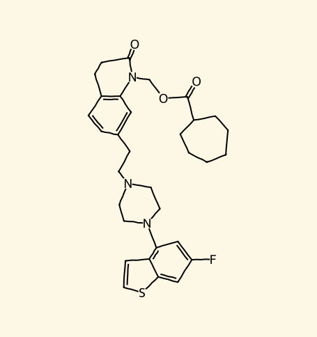 O=C(OCN1C(=O)CCc2ccc(CCN3CCN(c4cc(F)cc5sccc45)CC3)cc21)C1CCCCCC1